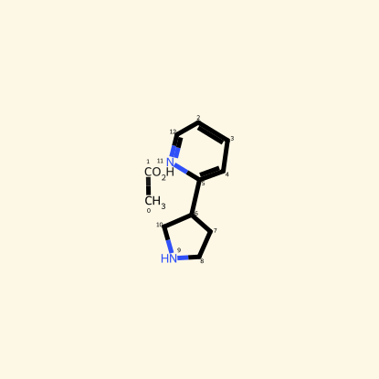 CC(=O)O.c1ccc(C2CCNC2)nc1